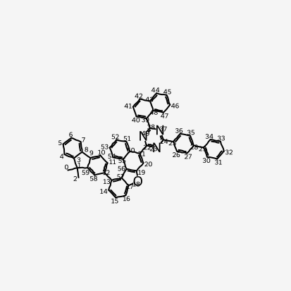 CC1(C)c2ccccc2-c2ccc(-c3cccc4oc5cc(-c6nc(-c7ccc(-c8ccccc8)cc7)nc(-c7cccc8ccccc78)n6)c6ccccc6c5c34)cc21